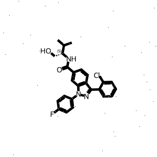 CC(C)[C@@H](CO)NC(=O)c1ccc2c(-c3ccccc3Cl)nn(-c3ccc(F)cc3)c2c1